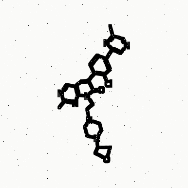 Cc1cncc(-c2ccc(-c3cc4cnc(C)nc4n(CCN4CCN(C5COC5)CC4)c3=O)c(Cl)c2)n1